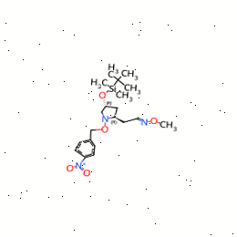 CON=CC[C@@H]1C[C@@H](O[Si](C)(C)C(C)(C)C)CN1OCc1ccc([N+](=O)[O-])cc1